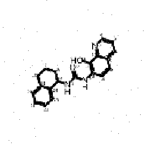 O=C(Nc1ccc2cccnc2c1O)NC1CCCc2ccccc21